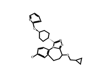 Clc1ccc2c(c1)CCC(OCC1CC1)c1nnc([C@H]3CC[C@H](Oc4ccccn4)CC3)n1-2